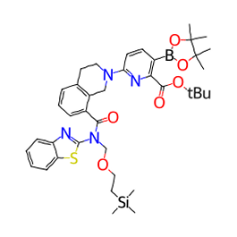 CC(C)(C)OC(=O)c1nc(N2CCc3cccc(C(=O)N(COCC[Si](C)(C)C)c4nc5ccccc5s4)c3C2)ccc1B1OC(C)(C)C(C)(C)O1